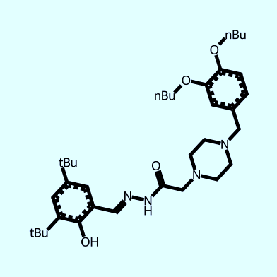 CCCCOc1ccc(CN2CCN(CC(=O)N/N=C/c3cc(C(C)(C)C)cc(C(C)(C)C)c3O)CC2)cc1OCCCC